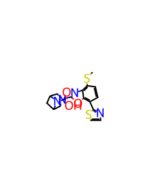 CSc1ccc(-c2nccs2)c2oc(N3CC4CC(C3)N4C(=O)O)nc12